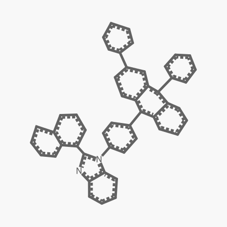 c1ccc(-c2ccc3c(-c4ccc(-n5c(-c6cccc7ccccc67)nc6ccccc65)cc4)c4ccccc4c(-c4ccccc4)c3c2)cc1